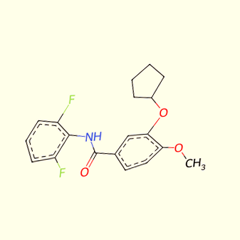 COc1ccc(C(=O)Nc2c(F)cccc2F)cc1OC1CCCC1